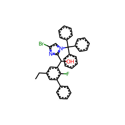 CCc1cc(-c2ccccc2)c(F)c(C(O)c2nc(Br)cn2C(c2ccccc2)(c2ccccc2)c2ccccc2)c1